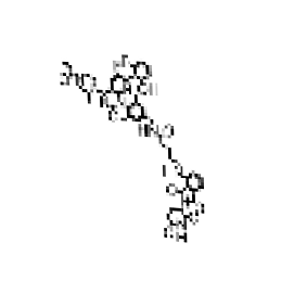 C=CC(=O)N1CCN(c2nc(=O)n(-c3c(C)cc(CNC(=O)CCCCNc4cccc5c4C(=O)N(C4CCC(=O)NC4=O)C5=O)cc3C)c3nc(-c4c(O)cccc4F)c(F)cc23)[C@@H](C)C1